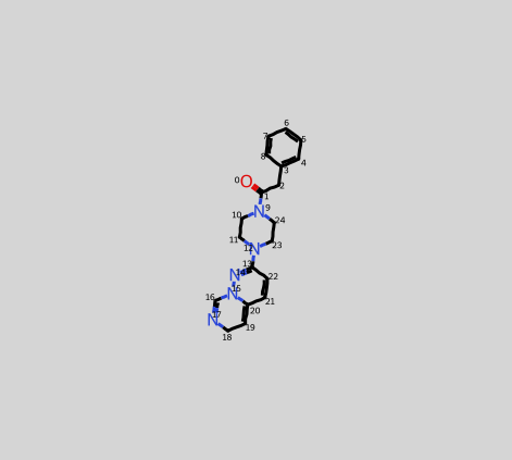 O=C(Cc1ccccc1)N1CCN(C2=NN3C=NCC=C3C=C2)CC1